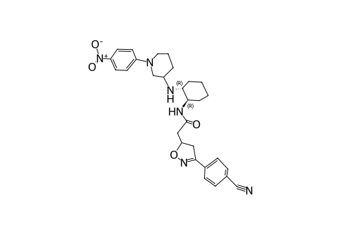 N#Cc1ccc(C2=NOC(CC(=O)N[C@@H]3CCCC[C@H]3NC3CCCN(c4ccc([N+](=O)[O-])cc4)C3)C2)cc1